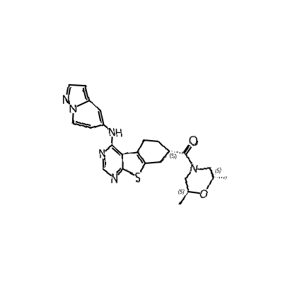 C[C@H]1CN(C(=O)[C@H]2CCc3c(sc4ncnc(Nc5ccn6nccc6c5)c34)C2)C[C@H](C)O1